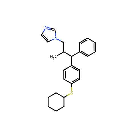 CC(Cn1ccnc1)C(c1ccccc1)c1ccc(SC2CCCCC2)cc1